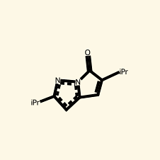 CC(C)C1=Cc2cc(C(C)C)nn2C1=O